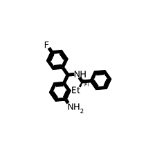 CC[C@@H](NC(c1ccc(F)cc1)c1cccc(N)c1)c1ccccc1